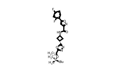 C[C@@H](O[Si](C)(C)C(C)(C)C)c1nnc([C@H]2C[C@H](NC(=O)c3cc(-c4ccc(F)cc4F)on3)C2)o1